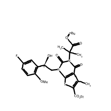 CCCCOC(=O)C(C)(C)n1c(=O)c2c(C)c(C(=O)OCC)sc2n(C[C@H](O)c2cc(F)ccc2OC)c1=O